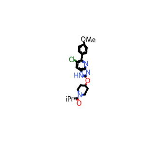 COc1ccc(-c2nc3nc(OC4CCN(C(=O)C(C)C)CC4)[nH]c3cc2Cl)cc1